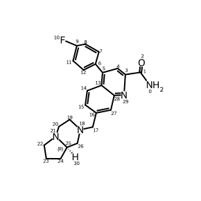 NC(=O)c1cc(-c2ccc(F)cc2)c2ccc(CN3CCN4CCC[C@@H]4C3)cc2n1